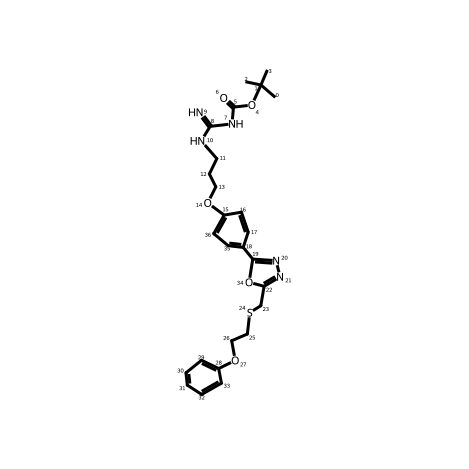 CC(C)(C)OC(=O)NC(=N)NCCCOc1ccc(-c2nnc(CSCCOc3ccccc3)o2)cc1